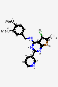 COc1ccc(CNc2nc(-c3cccnc3)nc3sc(C)c(Cl)c23)cc1OC